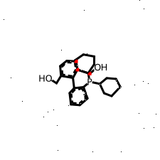 OCc1cccc(CO)c1-c1ccccc1P(C1CCCCC1)C1CCCCC1